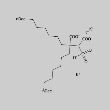 CCCCCCCCCCCCCCCCC(CCCCCCCCCCCCCCCC)(C(=O)[O-])C(C(=O)[O-])S(=O)(=O)[O-].[K+].[K+].[K+]